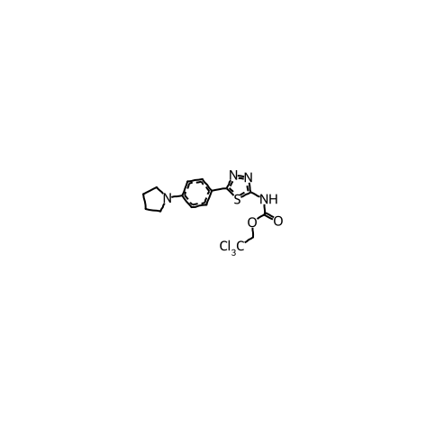 O=C(Nc1nnc(-c2ccc(N3CCCC3)cc2)s1)OCC(Cl)(Cl)Cl